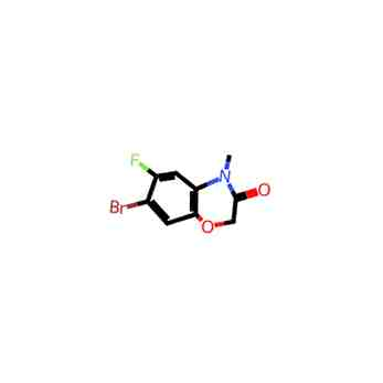 CN1C(=O)COc2cc(Br)c(F)cc21